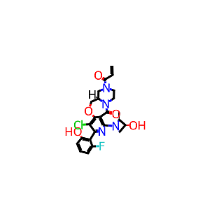 C=CC(=O)N1CCN2C(=O)c3c(N4C[C@H](O)[C@@H]4C)nc(-c4c(O)cccc4F)c(Cl)c3OC[C@H]2C1